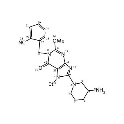 CCn1c(N2CCCC(N)C2)nc2nc(OC)n(Cc3ccccc3C#N)c(=O)c21